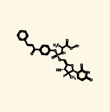 CC(C)OC(=O)[C@H](C)NP(=O)(O/C=C1/O[C@@H](n2ccc(=O)[nH]c2=O)[C@](C)(F)[C@@H]1O)Oc1ccc(C(=O)/C=C/c2ccccc2)cc1